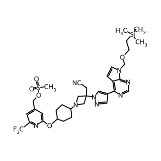 C[Si](C)(C)CCOCn1ccc2c(-c3cnn(C4(CC#N)CN(C5CCC(Oc6cc(COS(C)(=O)=O)cc(C(F)(F)F)n6)CC5)C4)c3)ncnc21